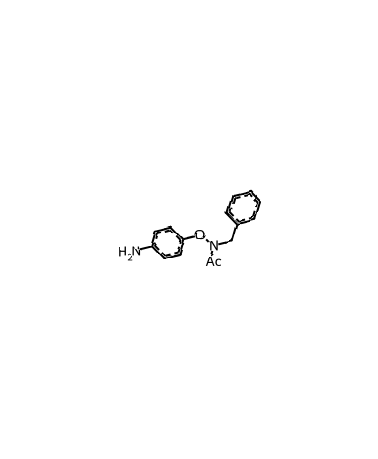 CC(=O)N(Cc1ccccc1)Oc1ccc(N)cc1